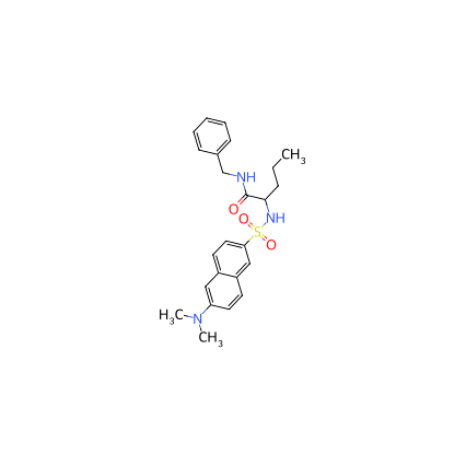 CCCC(NS(=O)(=O)c1ccc2cc(N(C)C)ccc2c1)C(=O)NCc1ccccc1